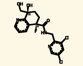 O=C(NCc1ncc(Cl)cc1Cl)[C@]1(F)CC[C@@](O)(CO)c2ncccc21